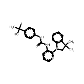 CC(O)(I)c1ccc(NC(=O)Nc2cccnc2N2CC(C)(C)c3ccccc32)cc1